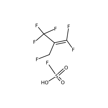 FCC(=C(F)F)C(F)(F)F.O=S(=O)(O)F